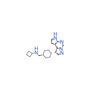 c1cc2c(ncn3ncc([C@H]4CC[C@H](CNC5CCC5)CC4)c23)[nH]1